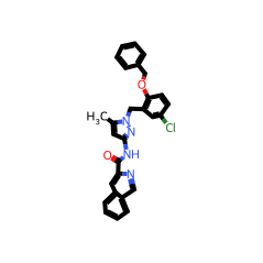 Cc1cc(NC(=O)c2cc3ccccc3cn2)nn1Cc1cc(Cl)ccc1OCc1ccccc1